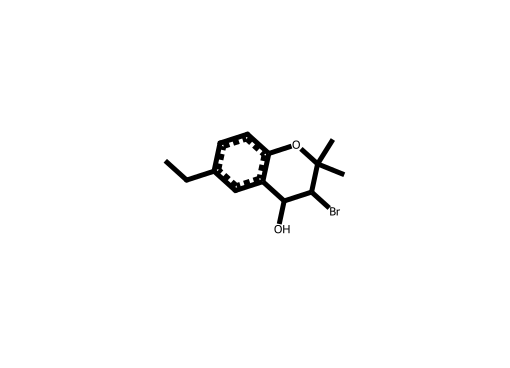 CCc1ccc2c(c1)C(O)C(Br)C(C)(C)O2